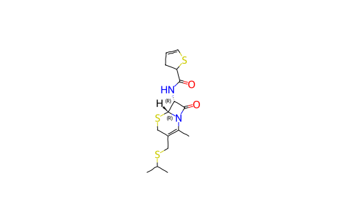 CC1=C(CSC(C)C)CS[C@@H]2[C@H](NC(=O)C3CC=CS3)C(=O)N12